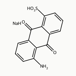 Nc1cccc2c1C(=O)c1cccc(S(=O)(=O)O)c1C2=O.[NaH]